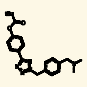 CN(C)Cc1ccc(Cn2nnc(-c3ccc(OC(=O)C(C)(C)C)cc3)n2)cc1